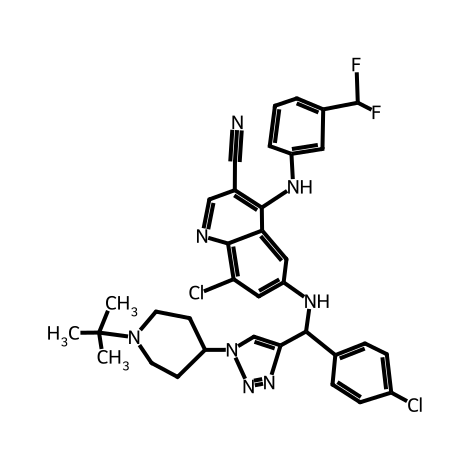 CC(C)(C)N1CCC(n2cc(C(Nc3cc(Cl)c4ncc(C#N)c(Nc5cccc(C(F)F)c5)c4c3)c3ccc(Cl)cc3)nn2)CC1